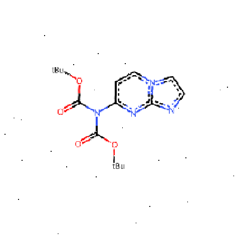 CC(C)(C)OC(=O)N(C(=O)OC(C)(C)C)c1ccn2ccnc2n1